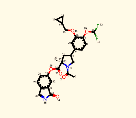 CC(=O)N1CC(c2ccc(OC(F)F)c(OCC3CC3)c2)C[C@]1(C)C(=O)Oc1ccc2c(c1)C(=O)N=C2